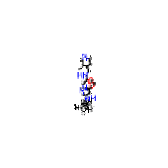 Cc1cnccc1CNC(=O)Cn1ncc(N[C@@H]2C[C@@H]3C[C@H]([C@H]2C)C3(C)C)cc1=O